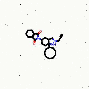 C#CCN1CC2CC(N3C(=O)C4=C(CCCC4)C3=O)CCC2(C2CCCCCCCC2)N1